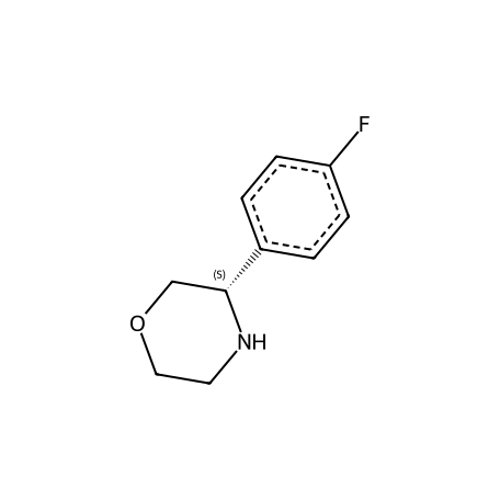 Fc1ccc([C@H]2COCCN2)cc1